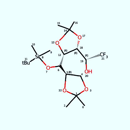 CC1(C)OC[C@H](C(O[Si](C)(C)C(C)(C)C)[C@@H]2OC(C)(C)O[C@@H]2[C@@H](O)C(F)(F)F)O1